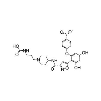 O=C(O)NCCCN1CCC(NC(=O)c2cc(-c3c(O)cc(O)cc3Oc3ccc([N+](=O)[O-])cc3)on2)CC1